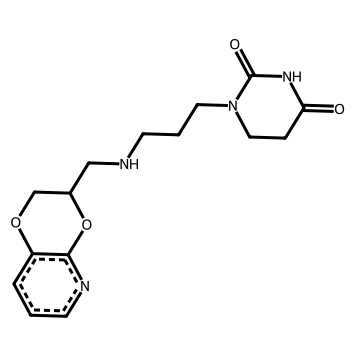 O=C1CCN(CCCNCC2COc3cccnc3O2)C(=O)N1